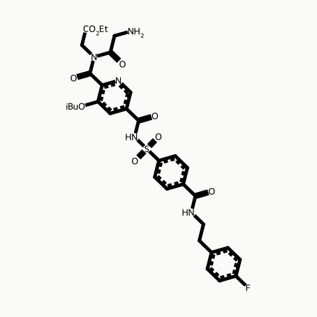 CCOC(=O)CN(C(=O)CN)C(=O)c1ncc(C(=O)NS(=O)(=O)c2ccc(C(=O)NCCc3ccc(F)cc3)cc2)cc1OCC(C)C